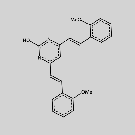 COc1ccccc1C=Cc1cc(C=Cc2ccccc2OC)nc(O)n1